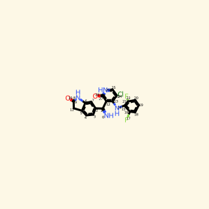 N=C(c1ccc2c(c1)NC(=O)C2)c1c(Nc2c(F)cccc2F)c(Cl)c[nH]c1=O